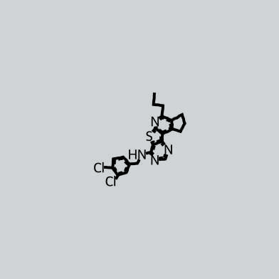 CCCc1nc2sc3c(NCc4ccc(Cl)c(Cl)c4)ncnc3c2c2c1CCC2